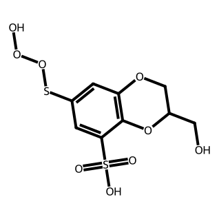 O=S(=O)(O)c1cc(SOOO)cc2c1OC(CO)CO2